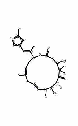 C/C1=C/C[C@@H](/C(C)=C/c2csc(C)n2)OC(=O)CC(O)C(C)(C)C(=O)[C@H](C)[C@@H](O)[C@@H](C)/C=C/C1